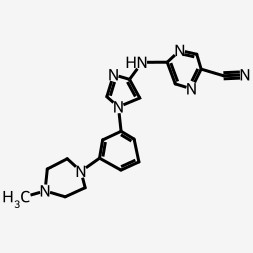 CN1CCN(c2cccc(-n3cnc(Nc4cnc(C#N)cn4)c3)c2)CC1